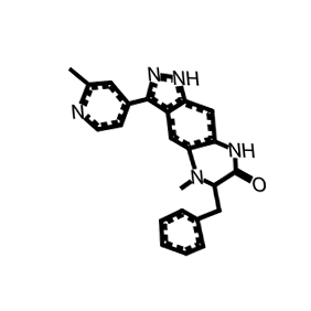 Cc1cc(-c2n[nH]c3cc4c(cc23)N(C)C(Cc2ccccc2)C(=O)N4)ccn1